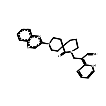 N=C/C(CN1CCCC2(CCN(c3cnc4ccccc4n3)CC2)C1=O)=C1/C=CC=CN1